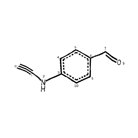 C#CNc1ccc(C=O)cc1